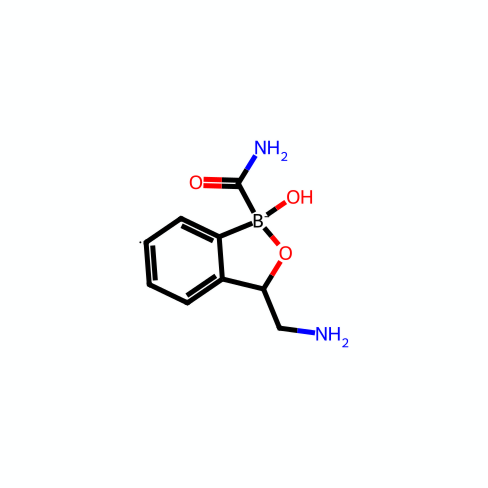 NCC1O[B-](O)(C(N)=O)c2c[c]ccc21